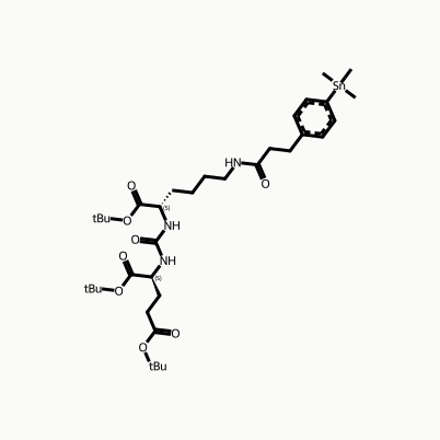 CC(C)(C)OC(=O)CC[C@H](NC(=O)N[C@@H](CCCCNC(=O)CCc1cc[c]([Sn]([CH3])([CH3])[CH3])cc1)C(=O)OC(C)(C)C)C(=O)OC(C)(C)C